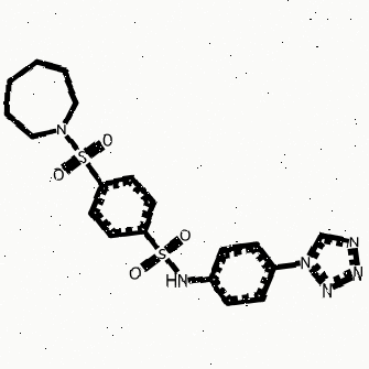 O=S(=O)(Nc1ccc(-n2cnnn2)cc1)c1ccc(S(=O)(=O)N2CCCCCC2)cc1